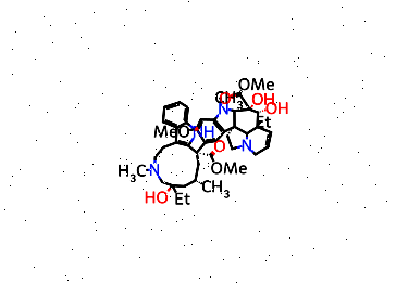 CCC1(O)C[C@@H](C)C[C@](C(=O)OC)(c2cc3c(cc2OC)N(C)C2[C@]34CCN3CC=C[C@](CC)(C34)[C@@H](O)[C@]2(O)C(=O)OC)c2[nH]c3ccccc3c2CCN(C)C1